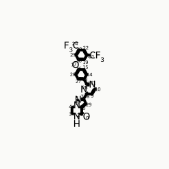 O=C1NCCn2nc(-c3ccnc(-c4ccc(Oc5cc(C(F)(F)F)cc(C(F)(F)F)c5)cc4)n3)cc21